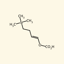 C[Si](C)(C)CCC=COC(=O)O